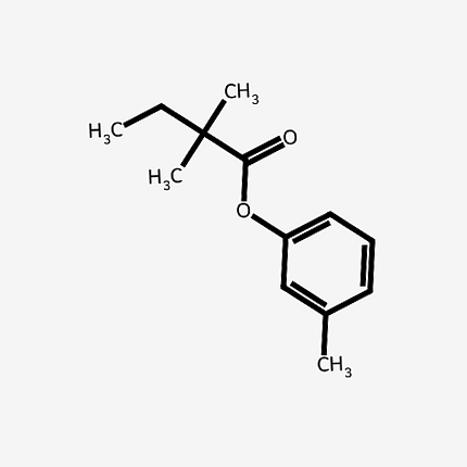 CCC(C)(C)C(=O)Oc1cccc(C)c1